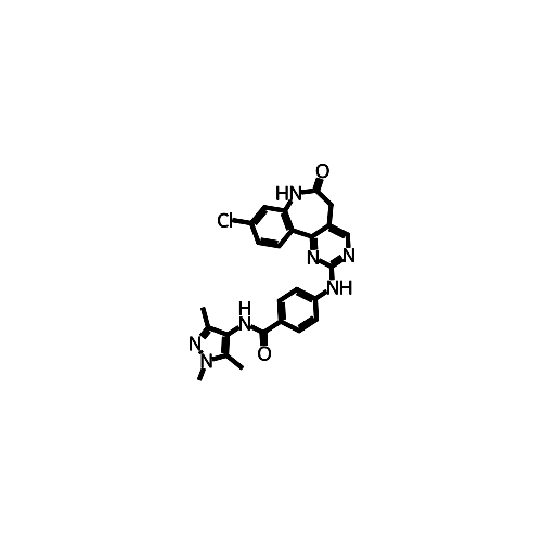 Cc1nn(C)c(C)c1NC(=O)c1ccc(Nc2ncc3c(n2)-c2ccc(Cl)cc2NC(=O)C3)cc1